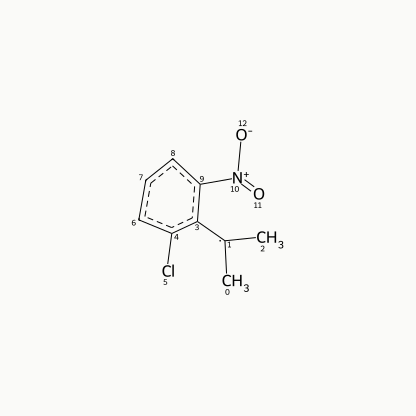 C[C](C)c1c(Cl)cccc1[N+](=O)[O-]